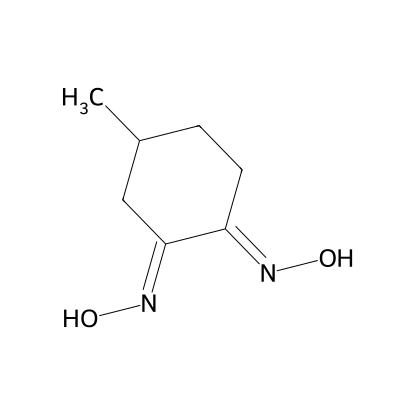 CC1CCC(=N\O)/C(=N/O)C1